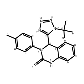 Cc1ccc(N2C(=S)Nc3ccccc3C2c2nnnn2C(C)(C)C)cc1